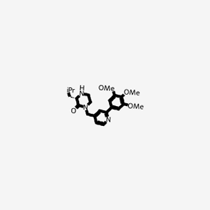 COc1cc(-c2cc(CN3CCN[C@@H](CC(C)C)C3=O)ccn2)cc(OC)c1OC